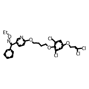 CCON=C(c1ccccc1)c1ccc(OCCCCOc2c(Cl)cc(OCC=C(Cl)Cl)cc2Cl)nc1